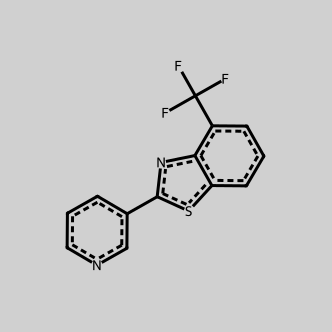 FC(F)(F)c1cccc2sc(-c3cccnc3)nc12